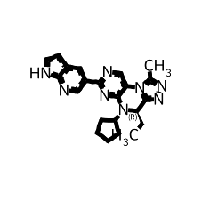 CC[C@@H]1c2nnc(C)n2-c2cnc(-c3cnc4[nH]ccc4c3)nc2N1C1CCCC1